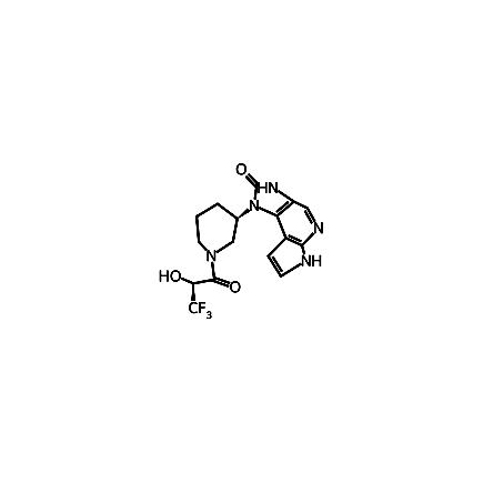 O=C([C@H](O)C(F)(F)F)N1CCC[C@@H](n2c(=O)[nH]c3cnc4[nH]ccc4c32)C1